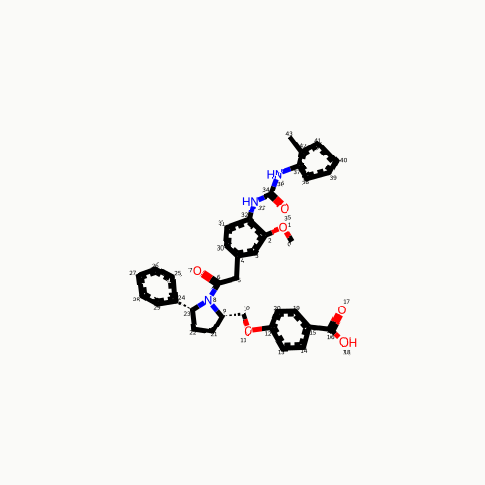 COc1cc(CC(=O)N2[C@H](COc3ccc(C(=O)O)cc3)CC[C@@H]2c2ccccc2)ccc1NC(=O)Nc1ccccc1C